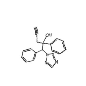 C#CCC(O)(c1ccccc1)C(c1ccccc1)n1cncn1